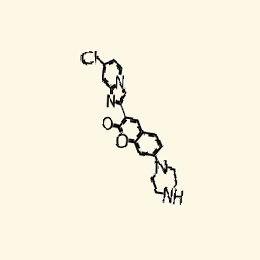 O=c1oc2cc(N3CCNCC3)ccc2cc1-c1cn2ccc(Cl)cc2n1